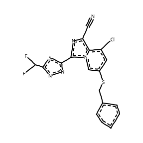 N#Cc1nc(-c2nnc(C(F)F)s2)n2cc(SCc3ccccc3)cc(Cl)c12